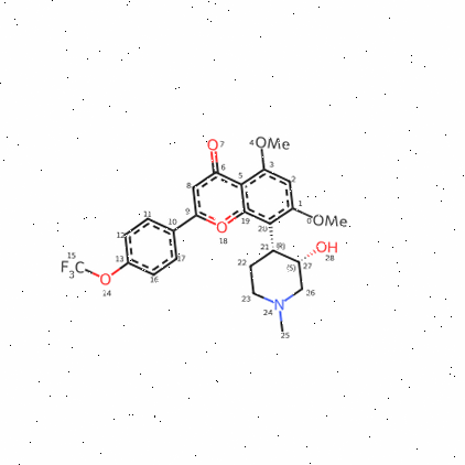 COc1cc(OC)c2c(=O)cc(-c3ccc(OC(F)(F)F)cc3)oc2c1[C@H]1CCN(C)C[C@H]1O